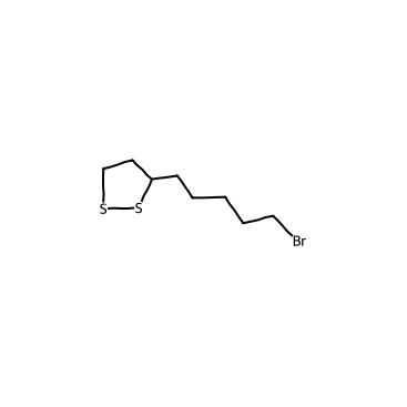 BrCCCCCC1CCSS1